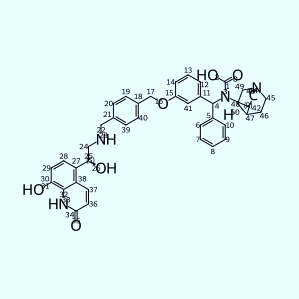 O=C(O)N(C(c1ccccc1)c1cccc(OCc2ccc(CNC[C@@H](O)c3ccc(O)c4[nH]c(=O)ccc34)cc2)c1)[C@H]1CN2CCC1CC2